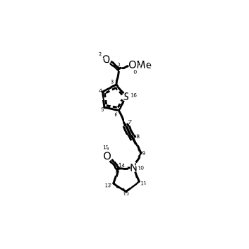 COC(=O)c1ccc(C#CCN2CCCC2=O)s1